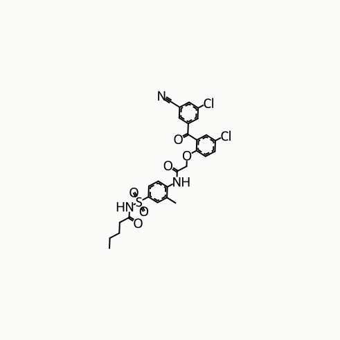 CCCCC(=O)NS(=O)(=O)c1ccc(NC(=O)COc2ccc(Cl)cc2C(=O)c2cc(Cl)cc(C#N)c2)c(C)c1